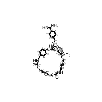 N=C(N)c1ccc(CNC(=O)[C@@H]2Cc3ccc(cc3)NC(=O)CN3CCN(CC3)CC(=O)Nc3ccc(cc3)C[C@@H](N)C(=O)N2)cc1